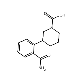 NC(=O)c1ccccc1C1CCCN(C(=O)O)C1